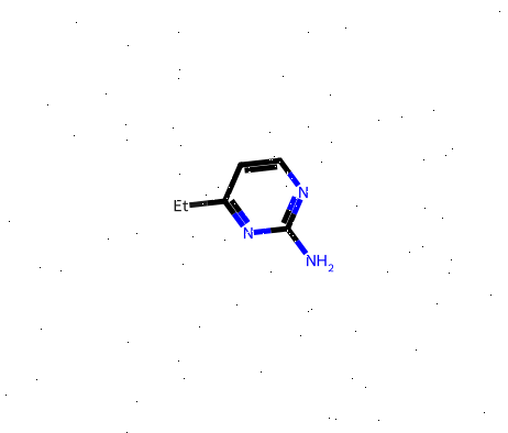 [CH2]Cc1ccnc(N)n1